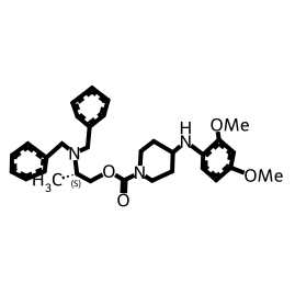 COc1ccc(NC2CCN(C(=O)OC[C@H](C)N(Cc3ccccc3)Cc3ccccc3)CC2)c(OC)c1